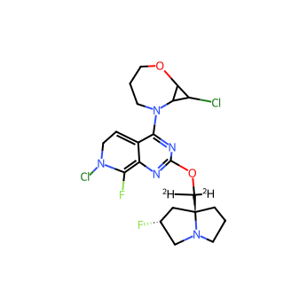 [2H]C([2H])(Oc1nc(N2CCCOC3C(Cl)C32)c2c(n1)=C(F)N(Cl)CC=2)[C@@]12CCCN1C[C@H](F)C2